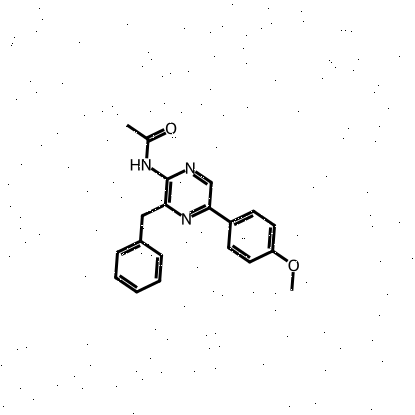 COc1ccc(-c2cnc(NC(C)=O)c(Cc3ccccc3)n2)cc1